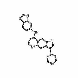 c1cc(-c2csc3cc4c(Nc5ccc6scnc6c5)ccnc4cc23)ccn1